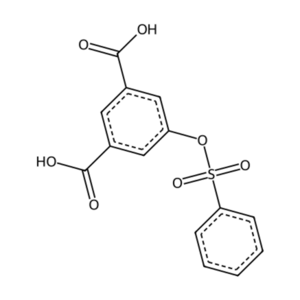 O=C(O)c1cc(OS(=O)(=O)c2ccccc2)cc(C(=O)O)c1